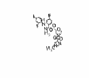 Cn1cnc(S(=O)(=O)N2CCOC(COc3cc(F)cc(Nc4ccc(I)cc4F)c3C(N)=O)C2)c1